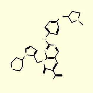 CC(C)C(=O)c1cc2cnc(Nc3ccc(OC4CCN(C)C4)cc3)nc2n(Cc2cccn2C2CCOCC2)c1=O